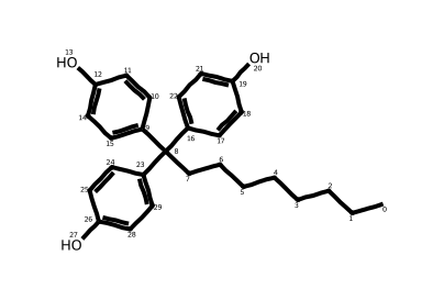 CCCCCCCCC(c1ccc(O)cc1)(c1ccc(O)cc1)c1ccc(O)cc1